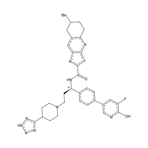 CC(C)(C)C1CCc2nc3sc(C(=O)N[C@H](CCN4CCC(c5nn[nH]n5)CC4)c4ccc(-c5cnc(O)c(F)c5)cc4)nc3cc2C1